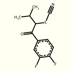 CC(C)C(SC#N)C(=O)c1ccc(F)c(F)c1